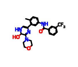 Cc1ccc(NC(=O)c2cccc(C(F)(F)F)c2)cc1C1=CNC(O)C(N2CCOCC2)=N1